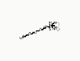 N#CSCCCOCCOCCOCCCNC(=S)NC(CN)(CN)CN